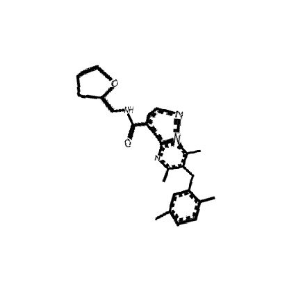 Cc1ccc(C)c(Cc2c(C)nc3c(C(=O)NCC4CCCO4)cnn3c2C)c1